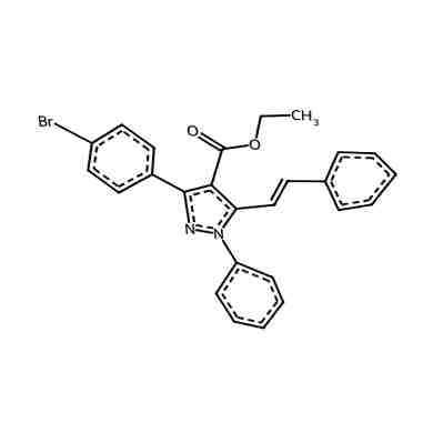 CCOC(=O)c1c(-c2ccc(Br)cc2)nn(-c2ccccc2)c1/C=C/c1ccccc1